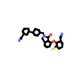 N#Cc1cccc(-c2ccc(CN3Cc4cccc(Oc5c(F)cccc5C#N)c4C3=O)cc2)c1